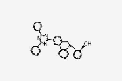 C#Cc1ccccc1/C=C1/Cc2ccc(-c3nc(-c4ccccc4)nc(-c4ccccc4)n3)cc2-c2ccccc21